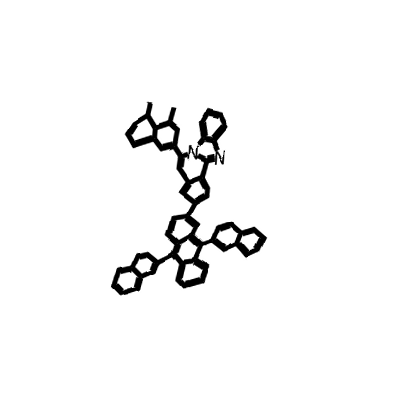 CC1C=CC=C2C=C(c3cc4cc(-c5ccc6c(-c7ccc8ccccc8c7)c7ccccc7c(-c7ccc8ccccc8c7)c6c5)ccc4c4nc5ccccc5n34)CC(C)C21